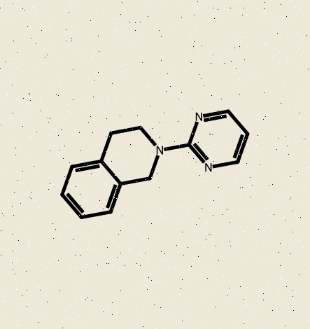 c1cnc(N2CCc3ccccc3C2)nc1